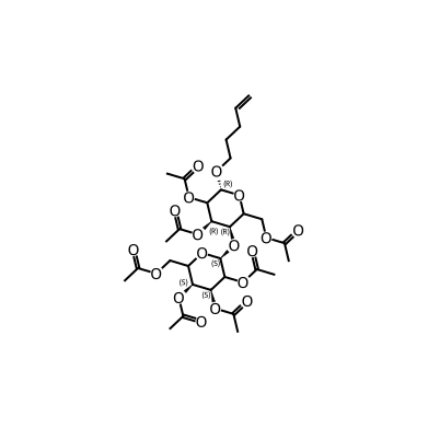 C=CCCCO[C@@H]1OC(COC(C)=O)[C@@H](O[C@@H]2OC(COC(C)=O)[C@H](OC(C)=O)[C@H](OC(C)=O)C2OC(C)=O)[C@@H](OC(C)=O)C1OC(C)=O